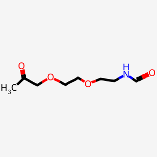 CC(=O)COCCOCCNC=O